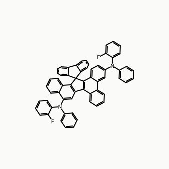 Fc1ccccc1N(c1ccccc1)c1ccc2c3c(c4ccccc4c2c1)-c1cc(N(c2ccccc2)c2ccccc2F)c2ccccc2c1C31c2ccccc2-c2ccccc21